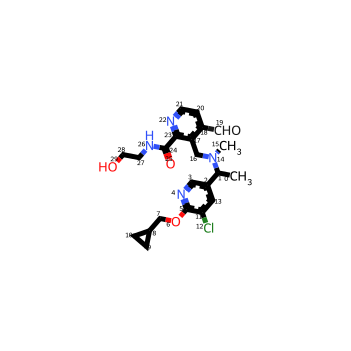 CC(c1cnc(OCC2CC2)c(Cl)c1)N(C)Cc1c(C=O)ccnc1C(=O)NCCO